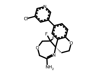 NC1=N[C@@]2(CCOc3ccc(-c4cncc(Cl)c4)cc32)C(F)(F)COC1